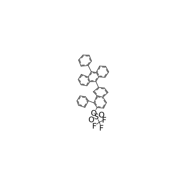 O=S(=O)(Oc1ccc2ccc(-c3c4ccccc4c(-c4ccccc4)c4ccccc34)cc2c1-c1ccccc1)C(F)(F)F